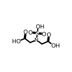 O=C(O)CN(CC(=O)O)S(=O)(=O)O